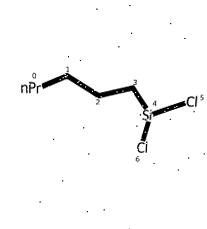 CCCCCC[Si](Cl)Cl